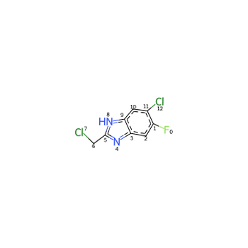 Fc1cc2nc(CCl)[nH]c2cc1Cl